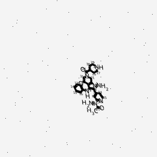 CC(=O)N(N)c1cc(-c2c(Nc3ccccc3)c3c(n2N)CN(C(=O)C2CCNCC2)CC3=O)ccn1